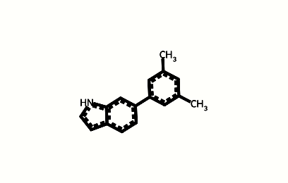 Cc1cc(C)cc(-c2ccc3cc[nH]c3c2)c1